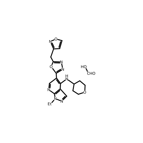 CCn1ncc2c(NC3CCOCC3)c(-c3nnc(Cc4ccon4)o3)cnc21.O=CO